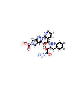 NC(=O)C(=O)C(Cc1ccccc1)NC(=O)c1cccnc1-n1cc2c(n1)CN(C(=O)O)C2